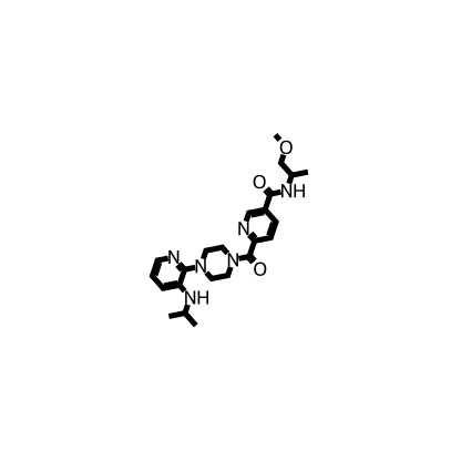 COCC(C)NC(=O)c1ccc(C(=O)N2CCN(c3ncccc3NC(C)C)CC2)nc1